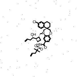 C=CC[C@H](O)[C@@H]1CC[C@H]1CN1C[C@@]2(CCCc3cc(Cl)ccc32)COc2ccc(C(=O)NS(=O)(=O)C(C)(C)CC=C)cc21